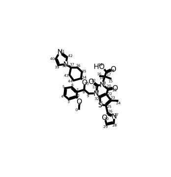 COc1ccccc1C(Cn1c(=O)n(C(C)(C)C(=O)O)c(=O)c2c(C)c(-c3ncco3)sc21)OC1CCC(n2ccnc2)CC1